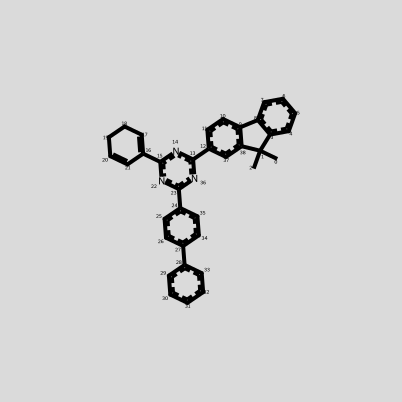 CC1(C)c2ccccc2-c2ccc(-c3nc(C4=CCCC=C4)nc(-c4ccc(-c5ccccc5)cc4)n3)cc21